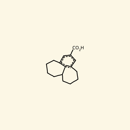 O=C(O)c1cc2c3c(c1)CCCCC3CCCC2